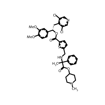 COc1ccc([C@H](Cc2c(Cl)cncc2Cl)OC(=O)c2ccc(CNC(C)(C(=O)OC3CCN(C)CC3)c3ccccc3)s2)cc1OC